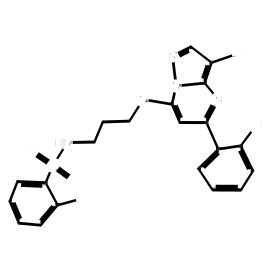 Bc1cnn2c(NCCCNS(=O)(=O)c3ccccc3C)cc(-c3ccccc3Cl)nc12